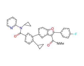 CNC(=O)c1c(-c2ccc(F)cc2)oc2ccc(-c3cc(C(=O)N(c4ccccn4)C4CC4)ccc3C3CC3)cc12